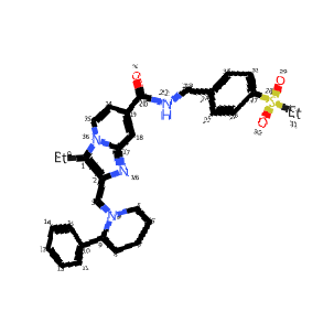 CCc1c(CN2CCCCC2c2ccccc2)nc2cc(C(=O)NCc3ccc(S(=O)(=O)CC)cc3)ccn12